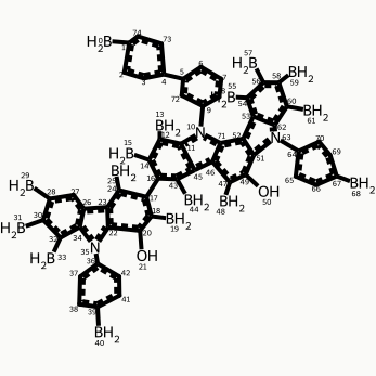 Bc1ccc(-c2cccc(-n3c4c(B)c(B)c(-c5c(B)c(O)c6c(c5B)c5cc(B)c(B)c(B)c5n6-c5ccc(B)cc5)c(B)c4c4c(B)c(O)c5c(c6c(B)c(B)c(B)c(B)c6n5-c5ccc(B)cc5)c43)c2)cc1